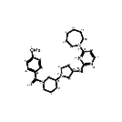 COc1ccc(C(=O)N2CCCC(N3CCC(Nc4nccc(N5CCCCCC5)n4)C3)C2)cc1